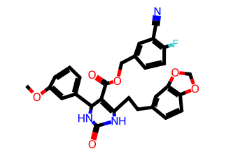 COc1cccc(C2NC(=O)NC(CCc3ccc4c(c3)OCO4)=C2C(=O)OCc2ccc(F)c(C#N)c2)c1